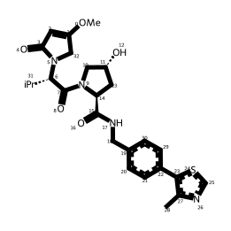 COC1=CC(=O)N([C@H](C(=O)N2C[C@H](O)C[C@H]2C(=O)NCc2ccc(-c3scnc3C)cc2)C(C)C)C1